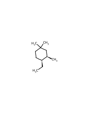 CC[C@H]1CCC(C)(C)C[C@H]1C